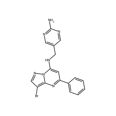 Nc1ncc(CNc2cc(-c3ccccc3)nc3c(Br)cnn23)cn1